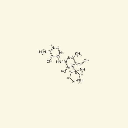 Cc1cc(Nc2ncnc(N)c2Cl)c(=O)n2c1C(=O)NC21CCCNC1